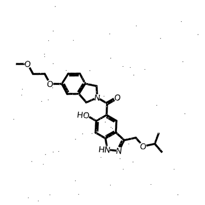 COCCOc1ccc2c(c1)CN(C(=O)c1cc3c(COC(C)C)n[nH]c3cc1O)C2